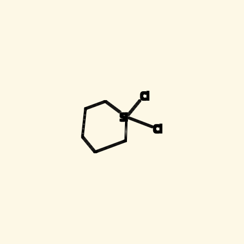 Cl[Si]1(Cl)CCCCC1